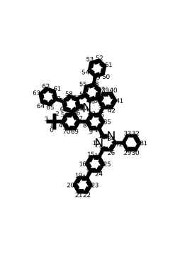 CC(C)(C)c1ccc(-c2cc(-c3nc(-c4ccc(-c5ccccc5)cc4)cc(C4C=CC=CC4)n3)cc(-c3ccccc3)c2-n2c3ccc(-c4ccccc4)cc3c3cc(-c4ccccc4)ccc32)cc1